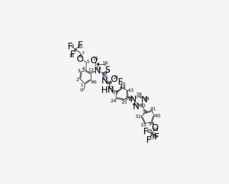 Cc1ccc(COCC(F)(F)F)c(N2C(=O)CS/C2=N\C(=O)Nc2ccc(-n3cnc(-c4ccc(OC(F)(F)F)cc4)n3)cc2F)c1